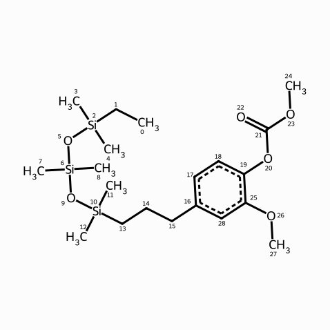 CC[Si](C)(C)O[Si](C)(C)O[Si](C)(C)CCCc1ccc(OC(=O)OC)c(OC)c1